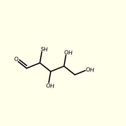 O=CC(S)C(O)C(O)CO